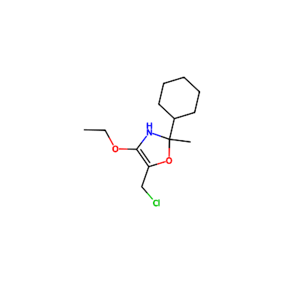 CCOC1=C(CCl)OC(C)(C2CCCCC2)N1